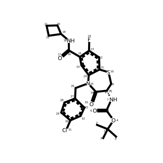 CC(C)(C)OC(=O)N[C@H]1CSc2cc(F)c(C(=O)NC3CCC3)cc2N(Cc2ccc(Cl)cc2)C1=O